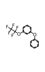 FC(F)(I)C(F)(F)Oc1cccc(Oc2ccccc2)c1